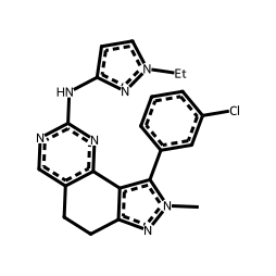 CCn1ccc(Nc2ncc3c(n2)-c2c(nn(C)c2-c2cccc(Cl)c2)CC3)n1